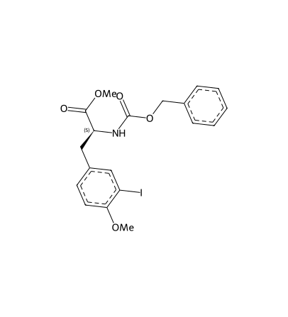 COC(=O)[C@H](Cc1ccc(OC)c(I)c1)NC(=O)OCc1ccccc1